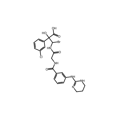 O=C(CNC(=O)c1cccc(NC2=NCCCN2)c1)NC(Br)C(O)(C(=O)O)c1cccc(Cl)c1